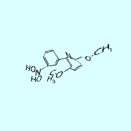 COCc1ccc(OC)c(-c2cccc(N(O)O)c2)n1